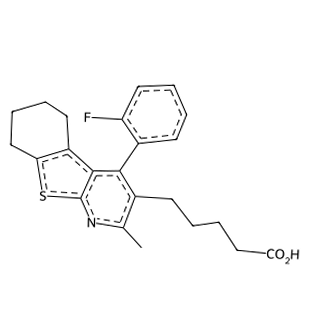 Cc1nc2sc3c(c2c(-c2ccccc2F)c1CCCCC(=O)O)CCCC3